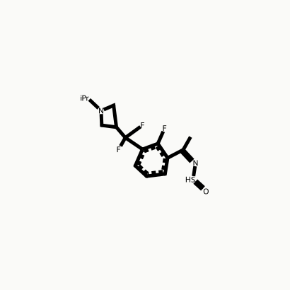 C/C(=N/[SH]=O)c1cccc(C(F)(F)C2CN(C(C)C)C2)c1F